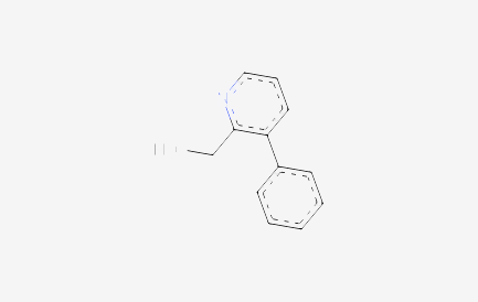 CCc1ncccc1-c1ccccc1